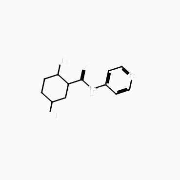 CC1CCC(C(C)C)C(C(=O)Nc2ccncc2)C1